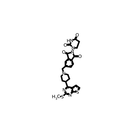 CSc1nc(C2CCN(Cc3ccc4c(c3)C(=O)N(N3CCC(=O)NC3=O)C4=O)CC2)c2ccsc2n1